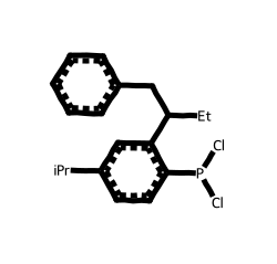 CCC(Cc1ccccc1)c1cc(C(C)C)ccc1P(Cl)Cl